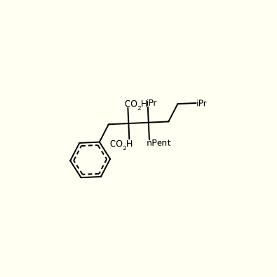 CCCCCC(CCC(C)C)(C(C)C)C(Cc1ccccc1)(C(=O)O)C(=O)O